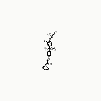 CC(C)(c1ccc(OC[C@H](O)CN2CCCCCC2)cc1)c1ccc(OC[C@@H](O)CCl)c(Cl)c1